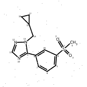 CS(=O)(=O)c1cccc(-c2n[c]nn2CC2CC2)c1